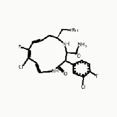 CC(C)(C)C[C@@H]1C/C=C/C(F)=C(Cl)\C=C\NC(=O)C(c2ccc(F)c(Cl)c2)[C@H](C(N)=O)N1